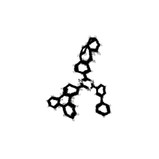 c1ccc(-c2cccc(-c3nc(-c4ccc5c(c4)CC4CCC6CC5CC4C6)nc(-c4ccc5c6ccccc6c6ccccc6c5c4)n3)c2)cc1